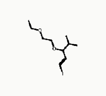 CCOCCOC(/C=C/I)C(C)C